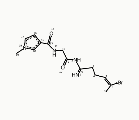 C/C(Br)=C\CCC(=N)NC(=O)CNC(=O)c1ccn(C)c1